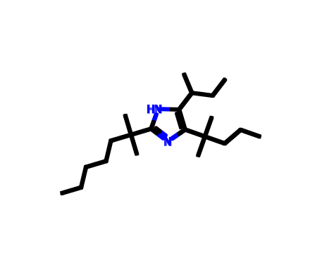 CCCCCC(C)(C)c1nc(C(C)(C)CCC)c(C(C)CC)[nH]1